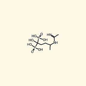 CC(=N)NC(C)CCC(O)(P(=O)(O)O)P(=O)(O)O